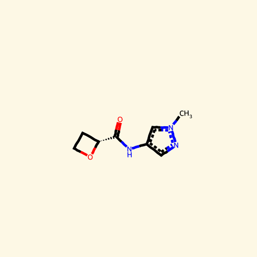 Cn1cc(NC(=O)[C@H]2CCO2)cn1